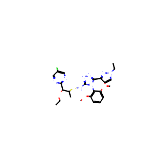 CCOC(c1ncc(Cl)cn1)C(C)SNc1nnc(-c2ccn(CC)n2)n1-c1c(OC)cccc1OC